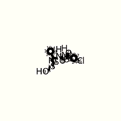 O=C(Nc1sc(SCCO)nc1-c1ccccc1)NS(=O)(=O)c1ccc(Cl)cc1